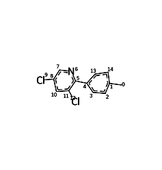 Cc1ccc(-c2ncc(Cl)cc2Cl)cc1